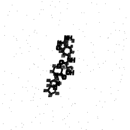 CC(O)(C(=O)Nc1ccc2c(N)noc2c1)[C@H]1OCCN(c2cc3n(n2)CCC3)C1=O